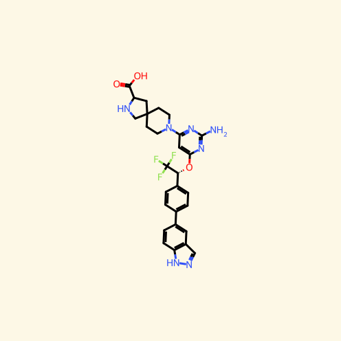 Nc1nc(O[C@H](c2ccc(-c3ccc4[nH]ncc4c3)cc2)C(F)(F)F)cc(N2CCC3(CC2)CNC(C(=O)O)C3)n1